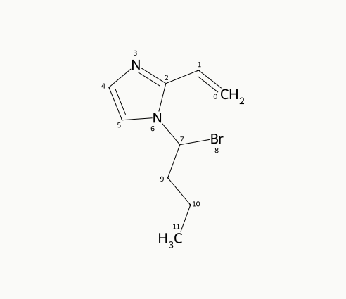 C=Cc1nccn1C(Br)CCC